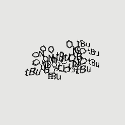 Cc1cc2c3c(c1)-n1c(-c4ccc(CC(C)(C)c5cc6c7c(c5)c(C(C)(C)C)c(-c5ccccc5)n7-c5cc(N(c7ccccc7)c7ccccc7)cc7c5B6c5cc(C(C)(C)C)cc6c(C(C)(C)C)c(-c8ccccc8)n-7c56)cc4)c(C(C)(C)C)c4cc(C(C)(C)C)cc(c41)B3c1cc(C(C)(C)C)cc3c(C(C)(C)C)c(-c4ccccc4)n-2c13